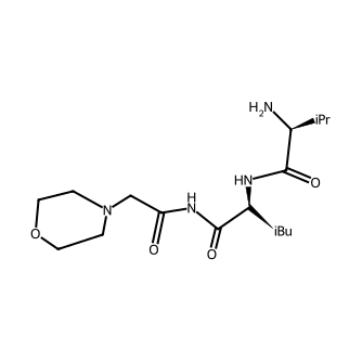 CC[C@H](C)[C@H](NC(=O)[C@@H](N)C(C)C)C(=O)NC(=O)CN1CCOCC1